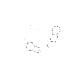 N[C@@H]1CCCN(c2c(Br)cnc3[nH]cc(NC(=O)c4cnc5ccccc5n4)c23)C1